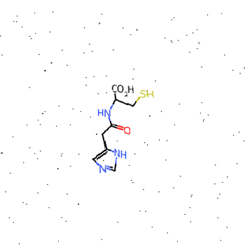 O=C(Cc1cnc[nH]1)NC(CS)C(=O)O